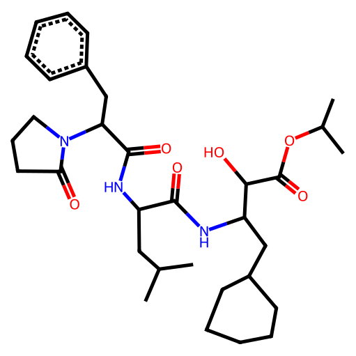 CC(C)CC(NC(=O)C(Cc1ccccc1)N1CCCC1=O)C(=O)NC(CC1CCCCC1)C(O)C(=O)OC(C)C